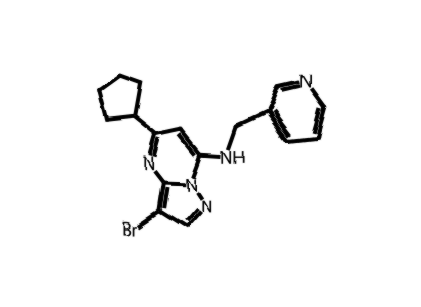 Brc1cnn2c(NCc3cccnc3)cc(C3CCCC3)nc12